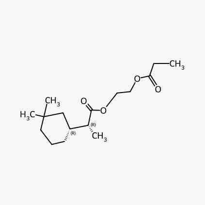 CCC(=O)OCCOC(=O)[C@H](C)[C@@H]1CCCC(C)(C)C1